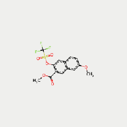 COC(=O)c1cc2cc(OC)ccc2cc1OS(=O)(=O)C(F)(F)F